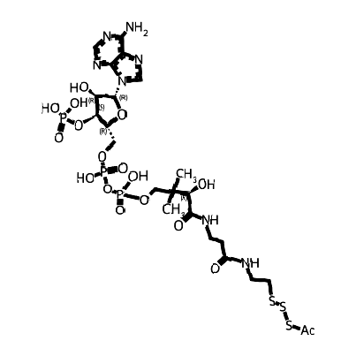 CC(=O)SSSCCNC(=O)CCNC(=O)[C@H](O)C(C)(C)COP(=O)(O)OP(=O)(O)OC[C@H]1O[C@@H](n2cnc3c(N)ncnc32)[C@H](O)[C@@H]1OP(=O)(O)O